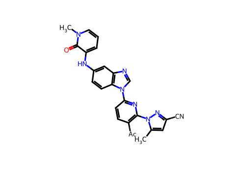 CC(=O)c1ccc(-n2cnc3cc(Nc4cccn(C)c4=O)ccc32)nc1-n1nc(C#N)cc1C